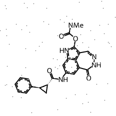 CNC(=O)Oc1[nH]c2cc(NC(=O)[C@@H]3C[C@H]3c3ccccc3)cc3c2c1C=NNC3=O